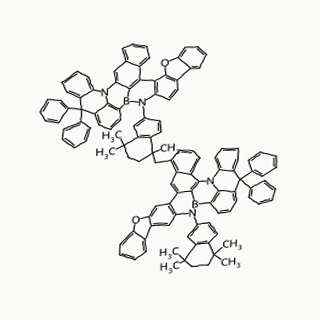 CC1(C)CCC(C)(C)c2cc(N3B4c5cccc6c5N(c5ccccc5C6(c5ccccc5)c5ccccc5)c5c4c(cc4c(CC6(C)CCC(C)(C)c7cc(N8B9c%10cccc%11c%10N(c%10ccccc%10C%11(c%10ccccc%10)c%10ccccc%10)c%10cc%11ccccc%11c(c%109)-c9c8ccc8c9oc9ccccc98)ccc76)cccc54)-c4cc5oc6ccccc6c5cc43)ccc21